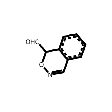 O=CC1ON=Cc2ccccc21